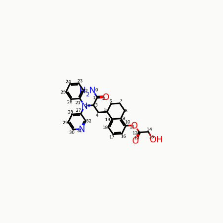 NC(=O)C(CC1CCCc2c(OC(=O)CO)cccc21)N(c1ccccc1)c1cccnc1